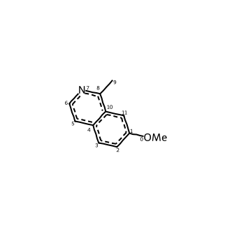 COc1ccc2ccnc(C)c2c1